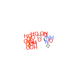 O=c1[nH]c(=O)n(C2CCC2)cc1[C@@H]1O[C@H](COP(=O)(O)OP(=O)(O)OP(=O)(O)O)C(O)C1O